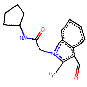 Cc1c(C=O)c2ccccc2n1CC(=O)NC1CCCC1